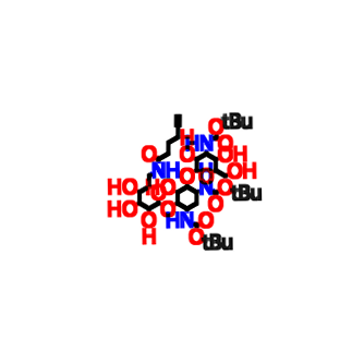 C#CCCCC(=O)NCC1O[C@H](O[C@@H]2C(NC(=O)OC(C)(C)C)C[C@@H](NC(=O)OC(C)(C)C)C(O[C@@H]3OC(CO)[C@H](O)C(NC(=O)OC(C)(C)C)C3O)[C@H]2O)C(O)[C@@H](O)[C@@H]1O